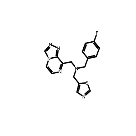 Fc1ccc(CN(Cc2cncs2)Cc2nccn3cnnc23)cc1